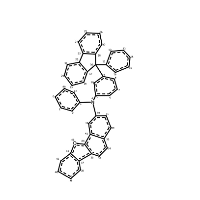 c1ccc(N(c2cccc(C3(c4ccccc4)c4ccccc4-c4ccccc43)c2)c2ccc3ccc4c5ccccc5oc4c3c2)cc1